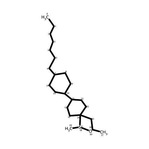 CCCCCCCC1CCC(C2CCC(CCC)([S+](C)[O-])CC2)CC1